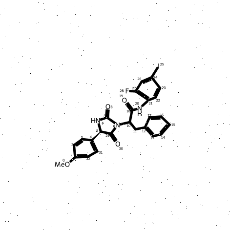 COc1ccc([C@H]2NC(=O)N(C(Cc3ccccc3)C(=O)Nc3ccc(I)cc3F)C2=O)cc1